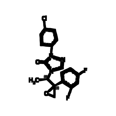 C[C@@H](n1cnn(-c2ccc(Cl)cc2)c1=O)[C@]1(c2ccc(F)cc2F)CO1